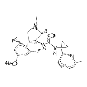 COc1cc(F)c([C@@H]2CN(C)C(=O)[C@H]2NC(=O)NC2(c3cccc(C)n3)CC2)c(F)c1